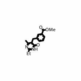 CCc1nc(C)c(Cc2cccc(C(=O)OC)c2)c(=O)[nH]1